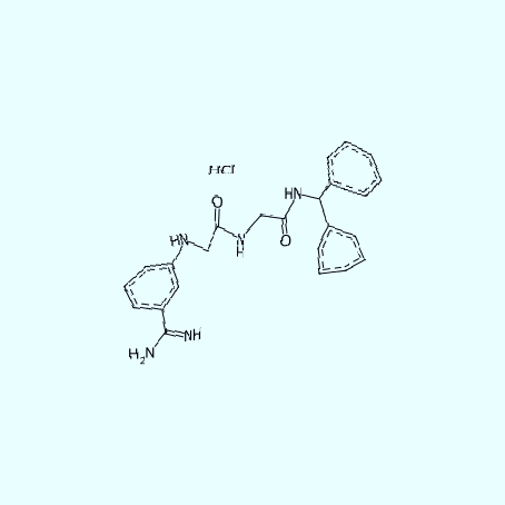 Cl.N=C(N)c1cccc(NCC(=O)NCC(=O)NC(c2ccccc2)c2ccccc2)c1